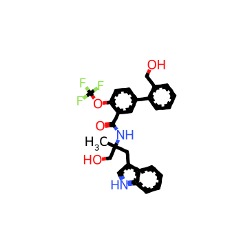 CC(CO)(Cc1c[nH]c2ccccc12)NC(=O)c1cc(-c2ccccc2CO)ccc1OC(F)(F)F